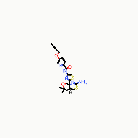 CC#CCOc1ccc(C(=O)Nc2csc(C34COC(C)(C)C[C@@H]3CSC(N)=N4)n2)nc1